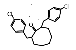 O=C1C(Cc2ccc(Cl)cc2)CCCCCC1Cc1ccc(Cl)cc1